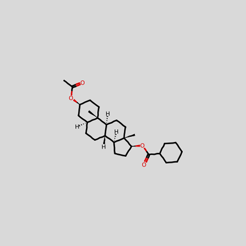 CC(=O)O[C@H]1CC[C@@]2(C)[C@@H](CC[C@@H]3[C@@H]2CC[C@]2(C)[C@@H](OC(=O)C4CCCCC4)CC[C@@H]32)C1